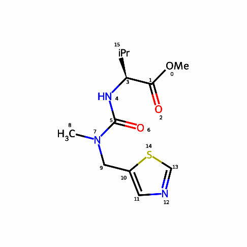 COC(=O)[C@@H](NC(=O)N(C)Cc1cncs1)C(C)C